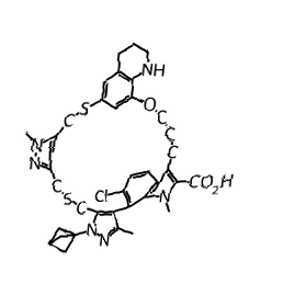 Cc1nn(C23CC(C2)C3)c2c1-c1c(Cl)ccc3c(c(C(=O)O)n(C)c13)CCCOc1cc(cc3c1NCCC3)SCc1cc(nn1C)CSC2